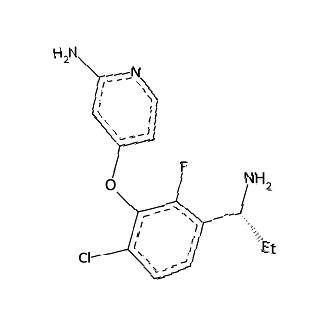 CC[C@@H](N)c1ccc(Cl)c(Oc2ccnc(N)c2)c1F